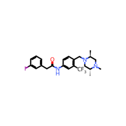 C[C@@H]1CN(Cc2ccc(NC(=O)Cc3cccc(I)c3)cc2C(F)(F)F)[C@@H](C)CN1C